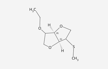 CCOC1CO[C@@H]2C(SC)CO[C@H]12